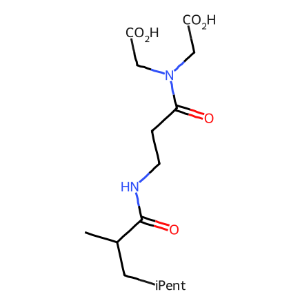 CCCC(C)CC(C)C(=O)NCCC(=O)N(CC(=O)O)CC(=O)O